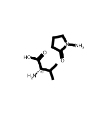 CC(C)[C@H](N)C(=O)O.NN1CCCC1=O